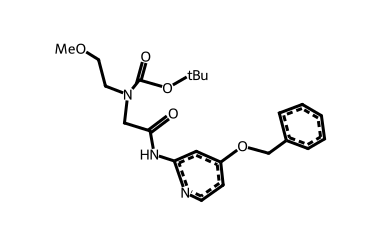 COCCN(CC(=O)Nc1cc(OCc2ccccc2)ccn1)C(=O)OC(C)(C)C